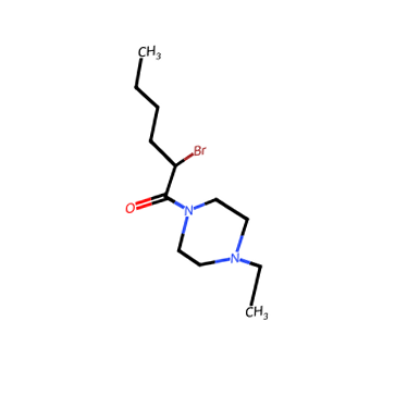 CCCCC(Br)C(=O)N1CCN(CC)CC1